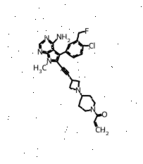 C=CC(=O)N1CCC(N2CC(C#Cc3c(-c4ccc(Cl)c(CF)c4)c4c(N)ncnc4n3C)C2)CC1